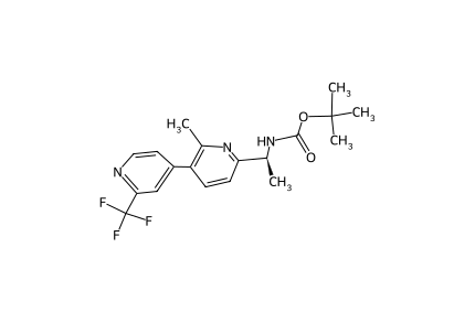 Cc1nc([C@H](C)NC(=O)OC(C)(C)C)ccc1-c1ccnc(C(F)(F)F)c1